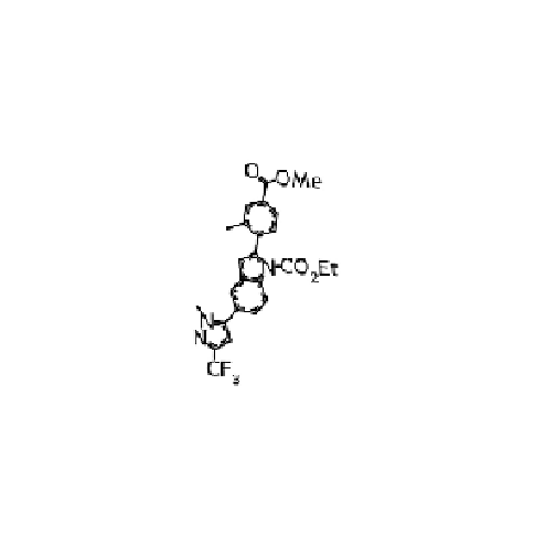 CCOC(=O)n1c(-c2ccc(C(=O)OC)cc2C)cc2cc(-c3cc(C(F)(F)F)nn3C)ccc21